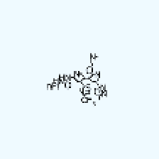 CCCNC(=O)Nc1cc(-c2nc(C(F)(F)F)cs2)c(-c2cc(-c3nnc(C)o3)cnc2OCCN(C)C)cn1